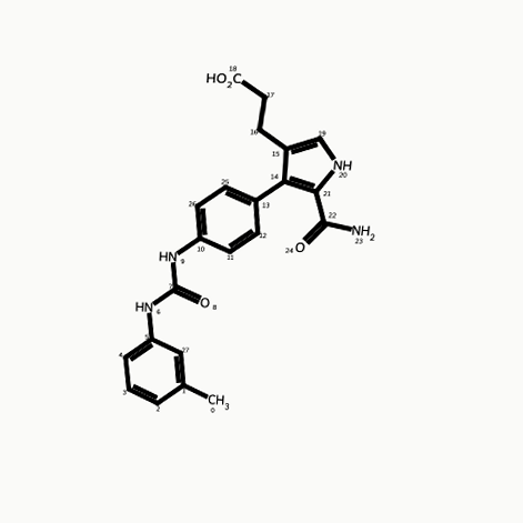 Cc1cccc(NC(=O)Nc2ccc(-c3c(CCC(=O)O)c[nH]c3C(N)=O)cc2)c1